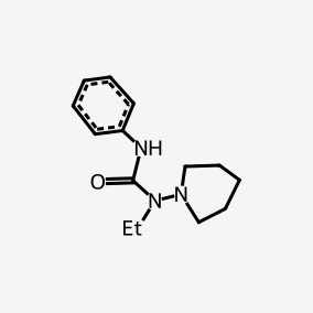 CCN(C(=O)Nc1ccccc1)N1CCCCC1